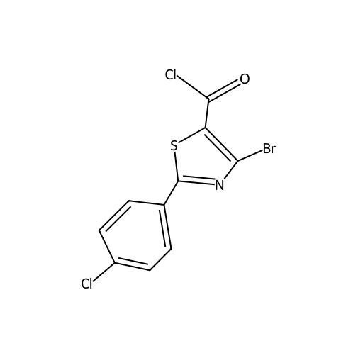 O=C(Cl)c1sc(-c2ccc(Cl)cc2)nc1Br